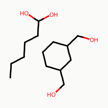 CCCCCC(O)O.OCC1CCCC(CO)C1